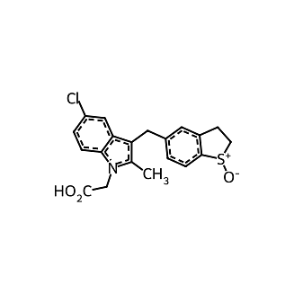 Cc1c(Cc2ccc3c(c2)CC[S+]3[O-])c2cc(Cl)ccc2n1CC(=O)O